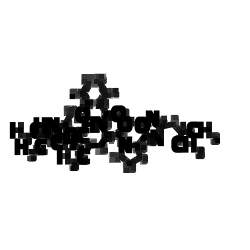 CC(C)Cc1noc([C@H]2CCCN2C(=O)[C@@H](CC(C)C)NC(=O)c2ccccc2OCC(=O)NC(C)(C)C)n1